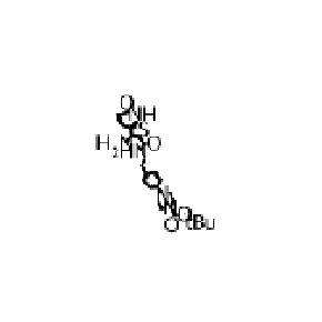 CC(C)(C)OC(=O)N1CCN(c2ccc(CCNC(=O)c3sc4[nH]c(=O)ccc4c3N)cc2)CC1